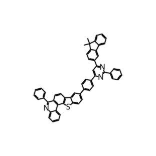 CC1(C)c2ccccc2-c2cc(-c3cc(-c4ccc(-c5ccc6sc7c(ccc8c(-c9ccccc9)nc9ccccc9c87)c6c5)cc4)nc(-c4ccccc4)n3)ccc21